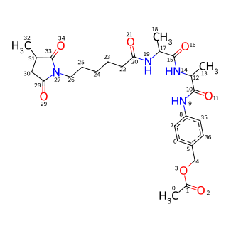 CC(=O)OCc1ccc(NC(=O)C(C)NC(=O)C(C)NC(=O)CCCCCN2C(=O)CC(C)C2=O)cc1